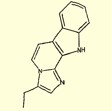 CCc1cnc2c3[nH]c4ccccc4c3ccn12